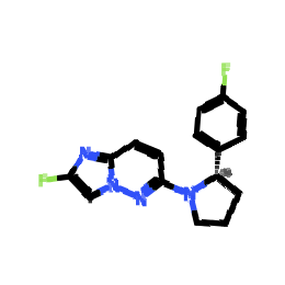 Fc1ccc([C@@H]2CCCN2c2ccc3nc(F)[c]n3n2)cc1